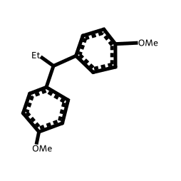 CCC(c1ccc(OC)cc1)c1ccc(OC)cc1